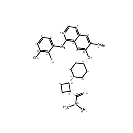 COc1cc2ncnc(Nc3cccc(Cl)c3F)c2cc1O[C@H]1CC[C@@H](N2CC[C@H]2C(=O)N(C)C)CC1